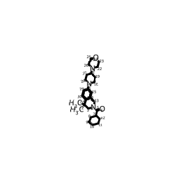 CC1(C)CN(C(=O)C2CCCCC2)Cc2cc(N3CCC(N4CCOCC4)CC3)ccc21